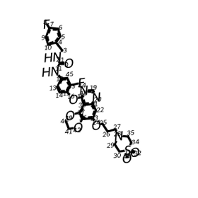 O=C(NCc1ccc(F)cc1)Nc1ccc(Oc2ncnc3cc(OCCCN4CCS(=O)(=O)CC4)c4c(c23)OCCO4)c(F)c1